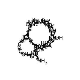 CC(C)C[C@@H]1NC(=O)[C@@H]2CCCN2C(=O)[C@@H]2CSCc3cc(cc(c3)OCCCCCCO/N=C/C(=O)N[C@@H](CCCCN)C(=O)N2)CSC[C@@H](C(N)=O)NC(=O)[C@H](C)NC(=O)[C@@H]2CCCN2C(=O)[C@H](C(C)C)NC(=O)[C@H](CC(=O)O)NC1=O